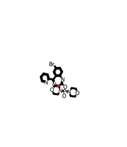 O=P(OC1=Nc2ccc(Br)cc2C(c2ccccn2)=NC1)(N1CCOCC1)N1CCOCC1